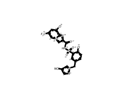 N#Cc1cnn(Cc2ccc(Cl)c(S(=O)(=O)NC(=O)c3cn4cc(C(F)(F)F)cc(Cl)c4n3)c2)c1